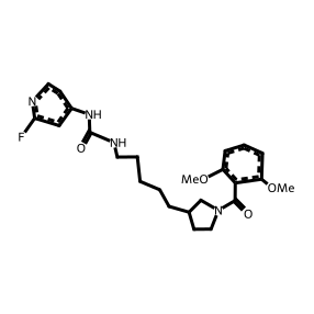 COc1cccc(OC)c1C(=O)N1CCC(CCCCCNC(=O)Nc2ccnc(F)c2)C1